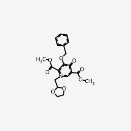 COC(=O)c1cn(CC2OCCO2)c(C(=O)OC)c(OCc2ccccc2)c1=O